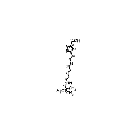 CC(C)(C)CNCCOCCOCCn1cc(CO)nn1